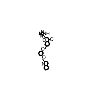 O=c1cc(-c2nnn[nH]2)oc2cc(COc3cccc(OCc4ccc5ccccc5n4)c3)ccc12